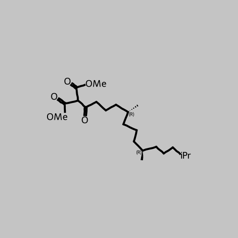 COC(=O)C(C(=O)CCC[C@H](C)CCC[C@H](C)CCCC(C)C)C(=O)OC